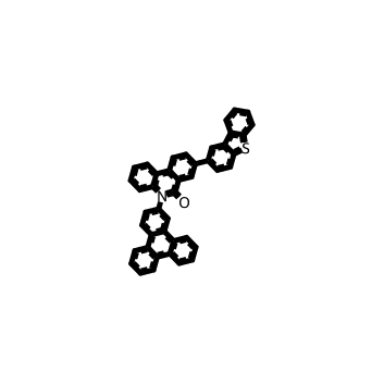 O=c1c2cc(-c3ccc4sc5ccccc5c4c3)ccc2c2ccccc2n1-c1ccc2c3ccccc3c3ccccc3c2c1